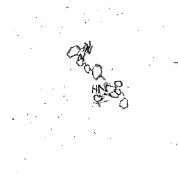 CC(C)(C)OC(=O)N[C@H](Cc1ccc(OCOn2nnc3ccccc32)cc1)C(=O)OCc1ccccc1